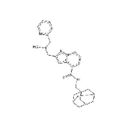 CN(Cc1ccccn1)Cc1cc2c(C(=O)NCC34CC5CC(CC(C5)C3)C4)cccn2n1